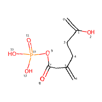 C=C(O)CCC(=C)C(=O)OP(=O)(O)O